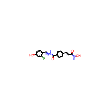 O=C(/C=C/c1ccc(C(=O)N/N=C/c2ccc(O)cc2Br)cc1)NO